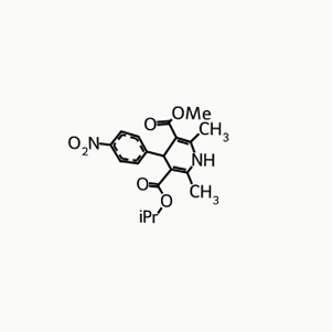 COC(=O)C1=C(C)NC(C)=C(C(=O)OC(C)C)C1c1ccc([N+](=O)[O-])cc1